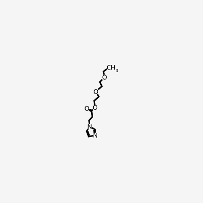 CCOCCOCCOC(=O)CCn1ccnc1